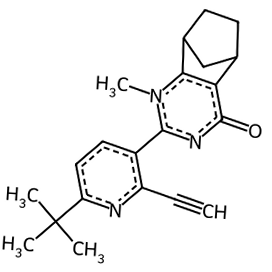 C#Cc1nc(C(C)(C)C)ccc1-c1nc(=O)c2c(n1C)C1CCC2C1